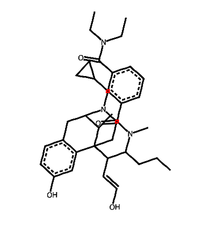 CCCC(C(C=CO)C12CCN(CC3CC3)C(Cc3ccc(O)cc31)C2C)N(C)C(=O)c1cccc(C(=O)N(CC)CC)c1